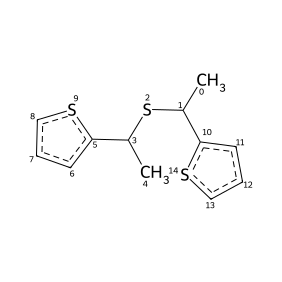 CC(SC(C)c1cccs1)c1cccs1